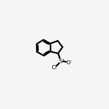 [O-][S+](Cl)C1CCc2ccccc21